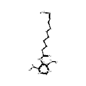 CCCCCCCC/C=C\CCCCCCCC(=O)Nc1c(SCC)ncnc1SCC